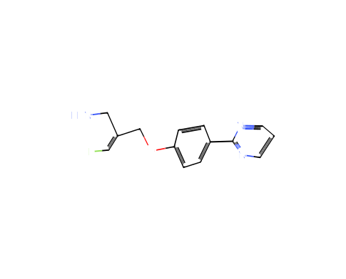 NCC(=CF)COc1ccc(-c2ncccn2)cc1